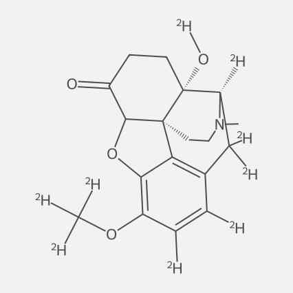 [2H]O[C@@]12CCC(=O)C3Oc4c(OC([2H])([2H])[2H])c([2H])c([2H])c5c4[C@@]31CCN(C)[C@]2([2H])C5([2H])[2H]